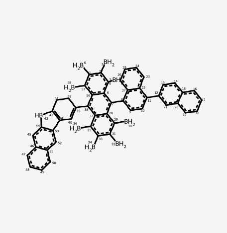 Bc1c(B)c(B)c2c(-c3ccc(-c4ccc5ccccc5c4)c4ccccc34)c3c(B)c(B)c(B)c(B)c3c(C3=CC4=C(Bc5cc6ccccc6cc54)CC3)c2c1B